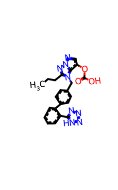 CCCc1nn2ncc(OC(=O)O)c2n1Cc1ccc(-c2ccccc2-c2nnn[nH]2)cc1